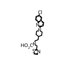 O=C(O)N(CCC1CCN(c2ccc3cc(Cl)ccc3n2)CC1)Cc1nccs1